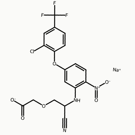 N#CC(COCC(=O)[O-])Nc1cc(Oc2ccc(C(F)(F)F)cc2Cl)ccc1[N+](=O)[O-].[Na+]